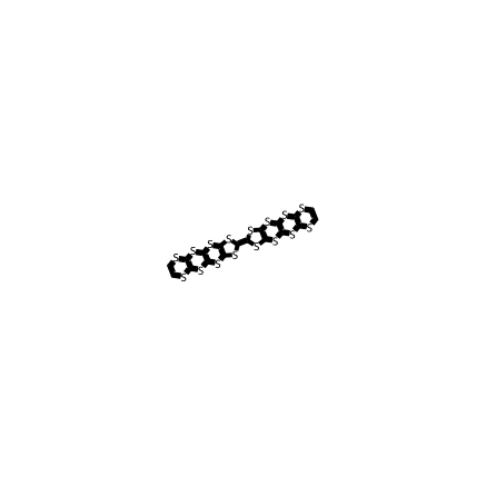 c1csc2sc3sc4c(sc3sc2s1)SC(=C1Sc2sc3sc5sccsc5sc3sc2S1)S4